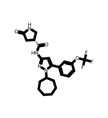 O=C1C[C@@H](C(=O)Nc2cc(-c3cccc(OC(F)(F)F)c3)n(C3CCCCCC3)n2)CN1